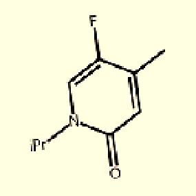 Cc1cc(=O)n(C(C)C)cc1F